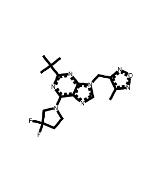 Cc1nonc1Cn1cnc2c(N3CCC(F)(F)C3)nc(C(C)(C)C)nc21